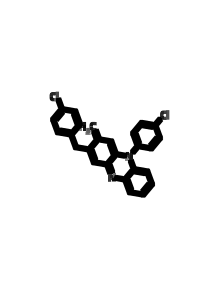 C=c1cc2c(cc1Cc1ccc(Cl)cc1)=Nc1ccccc1N2c1ccc(Cl)cc1